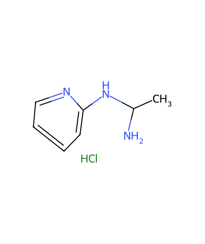 CC(N)Nc1ccccn1.Cl